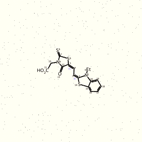 CCN1/C(=C\C=C2\SC(=S)N(CC(=O)O)C2=O)Sc2ccccc21